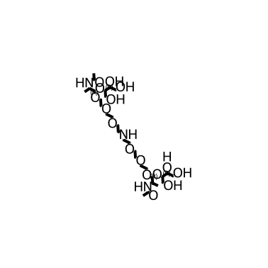 CC(=O)NC(C)[C@H](OCCOCCOCCNCCOCCOCCO[C@H](OC(CO)[C@H](O)CO)C(C)NC(C)=O)OC(CO)[C@H](O)CO